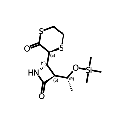 C[C@@H](O[Si](C)(C)C)[C@H]1C(=O)N[C@@H]1[C@@H]1SCCSC1=O